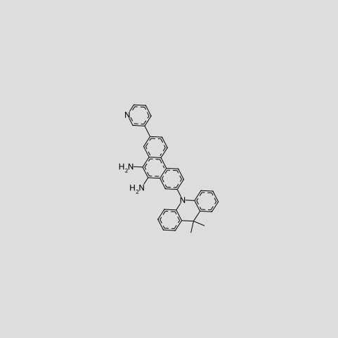 CC1(C)c2ccccc2N(c2ccc3c(c2)c(N)c(N)c2cc(-c4cccnc4)ccc23)c2ccccc21